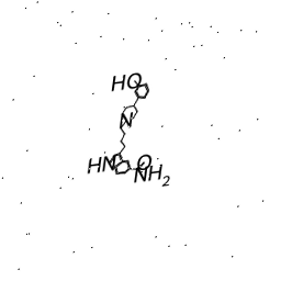 NC(=O)c1ccc2[nH]cc(CCCCN3CCC(c4cccc(O)c4)CC3)c2c1